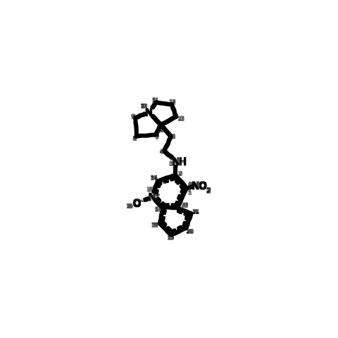 O=[N+]([O-])c1c(NCCC23CCCN2CCC3)c[n+]([O-])c2ccccc12